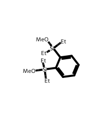 CC[Si](CC)(OC)c1ccccc1[Si](CC)(CC)OC